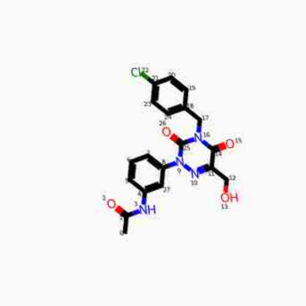 CC(=O)Nc1cccc(-n2nc(CO)c(=O)n(Cc3ccc(Cl)cc3)c2=O)c1